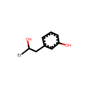 CCC(O)Cc1cccc(O)c1